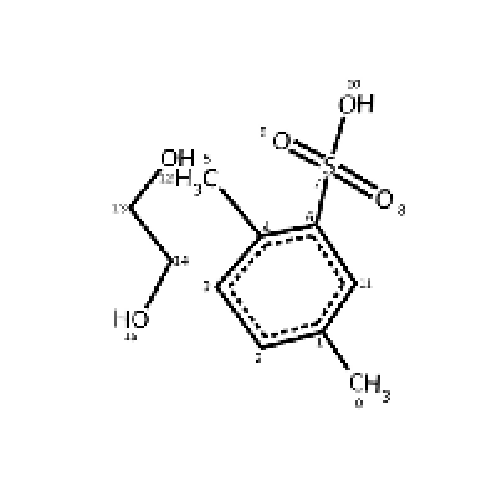 Cc1ccc(C)c(S(=O)(=O)O)c1.OCCO